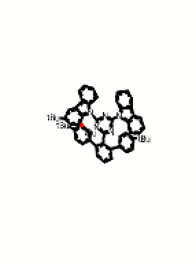 CC(C)(C)c1ccc(-c2cccc(-c3ccc(C(C)(C)C)cc3)c2-c2nc(-n3c4ccccc4c4ccccc43)nc(-n3c4ccccc4c4cc(C(C)(C)C)cc(C(C)(C)C)c43)n2)cc1